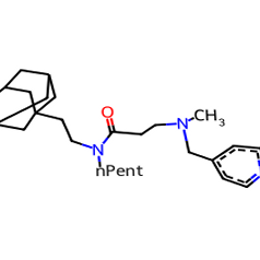 CCCCCN(CCC12CC3CC(CC(C3)C1)C2)C(=O)CCN(C)Cc1ccncc1